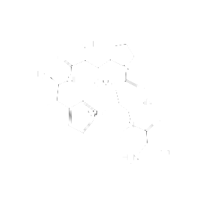 CCC(C)[C@@H]([C@@H](CC(=O)N1CCC[C@H]1[C@H](OC)[C@@H](C)C(=O)N[C@H](C)[C@@H](O)c1ccccc1)OC)N(C)C(=O)[C@@H](N)C(C)C